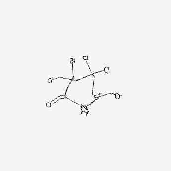 O=C1N[S+]([O-])C(Cl)(Cl)C1(Cl)Br